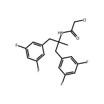 CC(Cc1cc(F)cc(F)c1)(Cc1cc(F)cc(F)c1)NC(=O)CCl